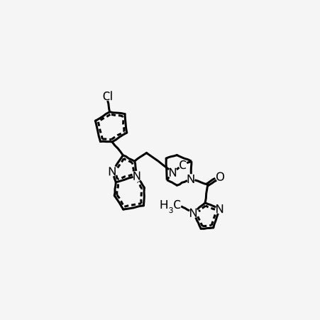 Cn1ccnc1C(=O)N1CC2CCC1CN2Cc1c(-c2ccc(Cl)cc2)nc2ccccn12